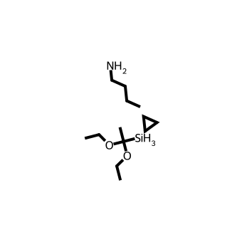 C1CC1.CCCCN.CCOC(C)([SiH3])OCC